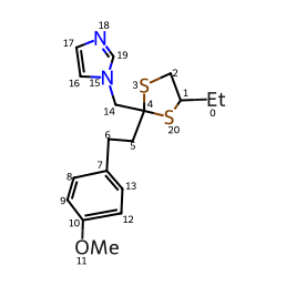 CCC1CSC(CCc2ccc(OC)cc2)(Cn2ccnc2)S1